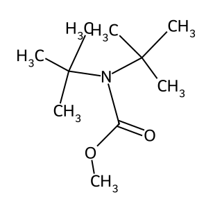 COC(=O)N(C(C)(C)C)C(C)(C)C